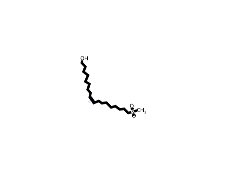 CS(=O)(=O)CCCCCCCC/C=C\CCCCCCCCO